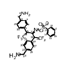 NCc1ccc(C(C(=NOS(=O)(=O)c2ccccc2)C(c2ccc(CN)cc2)C(F)(F)F)C(F)(F)F)cc1